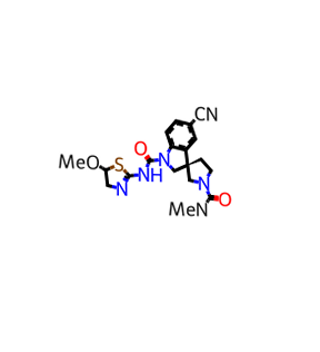 CNC(=O)N1CC[C@@]2(C1)CN(C(=O)NC1=NCC(OC)S1)c1ccc(C#N)cc12